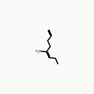 C=CCC/C(N)=C\CC